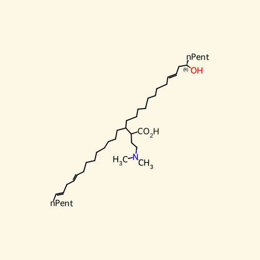 CCCCCC=CCC=CCCCCCCCCC(CCCCCCCCC=CC[C@H](O)CCCCC)C(CCN(C)C)C(=O)O